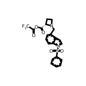 O=C(OC(=O)C(F)(F)F)[C@@H]1CCN1Cc1cccc2c1ccn2S(=O)(=O)c1ccccc1